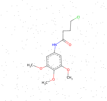 COc1cc(NC(=O)CCCCl)cc(OC)c1OC